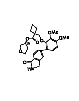 COc1ccc(-c2ccc3c(c2)CNC3=O)c(OCC2(C(=O)O[C@H]3CCOC3)CCC2)c1OC